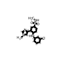 CNS(=O)(=O)c1ccc(Nc2cccc(Cl)c2)c(-c2cn(C)cn2)c1